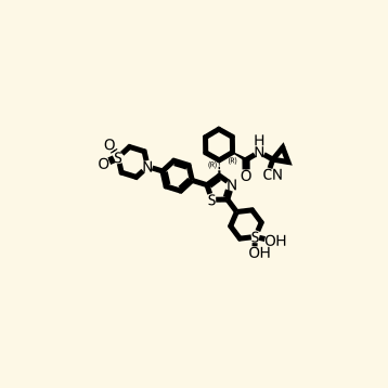 N#CC1(NC(=O)[C@@H]2CCCC[C@H]2c2nc(C3CCS(O)(O)CC3)sc2-c2ccc(N3CCS(=O)(=O)CC3)cc2)CC1